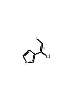 Cl/C(=C/I)c1ccsc1